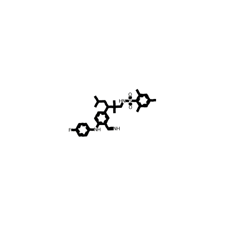 Cc1cc(C)c(S(=O)(=O)NCC(C)(C)C(CC(C)C)c2ccc(Nc3ccc(F)cc3)c(C=N)c2)c(C)c1